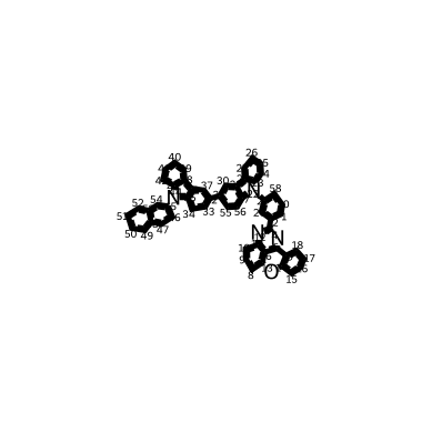 c1cc(-c2nc3c4c(cccc4n2)Oc2ccccc2-3)cc(-n2c3ccccc3c3cc(-c4ccc5c(c4)c4ccccc4n5-c4ccc5ccccc5c4)ccc32)c1